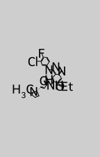 CCOc1cc2ncnc(Nc3ccc(F)c(Cl)c3)c2cc1NC(=O)C=C[C@@H]1CCCN1C